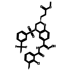 COC(=O)CC[C@H]1CN(S(=O)(=O)c2cccc(C(F)(F)F)c2)c2cc(/C(=N\O)NC(=O)c3cccc(F)c3Cl)ccc2O1